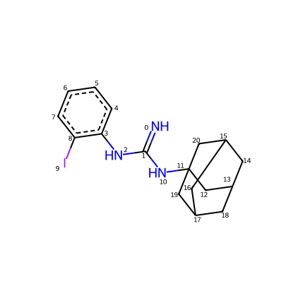 N=C(Nc1ccccc1I)NC12CC3CC(CC(C3)C1)C2